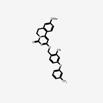 COc1ccc2c(c1)CCn1c-2cc(OCc2ccc(Oc3cccc(C(F)(F)F)c3)cc2C#N)nc1=O